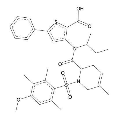 CCC(C)N(C(=O)C1CC=C(C)CN1S(=O)(=O)c1c(C)cc(OC)c(C)c1C)c1cc(-c2ccccc2)sc1C(=O)O